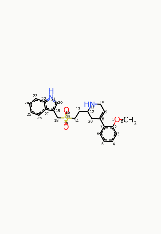 COc1ccccc1C1=CCNC(CCS(=O)(=O)Cc2c[nH]c3ccccc23)C1